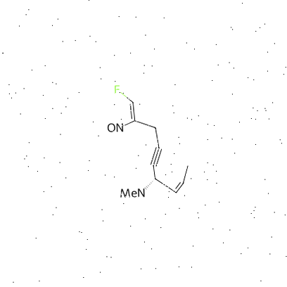 C/C=C\[C@@H](C#CC/C(=C/F)N=O)NC